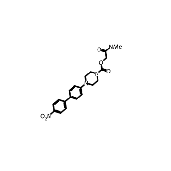 CNC(=O)COC(=O)N1CCN(c2ccc(-c3ccc([N+](=O)[O-])cc3)cc2)CC1